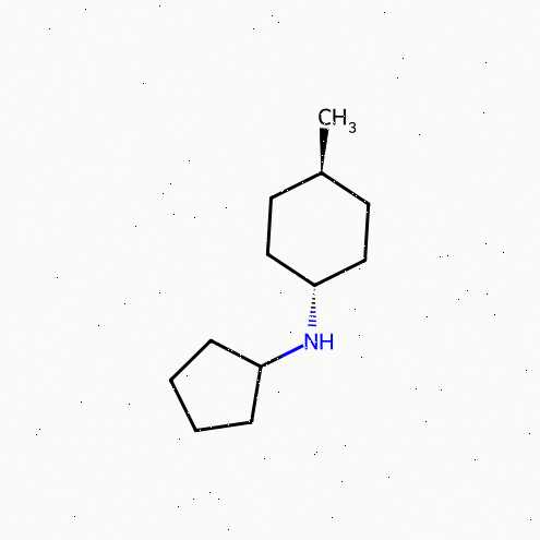 C[C@H]1CC[C@H](NC2CCCC2)CC1